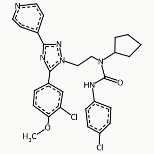 COc1ccc(-c2nc(-c3ccncc3)nn2CCN(C(=O)Nc2ccc(Cl)cc2)C2CCCC2)cc1Cl